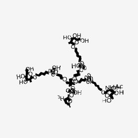 [3H]C1C[C@H](C)O[C@@H]1COP(=O)(O)OCC(COCCCOP(=O)(O)OCCCCCCO[C@@H]1OC(CO)[C@H](O)[C@H](O)C1C)(COCCCOP(=O)(O)OCCCCCCO[C@@H]1OC(CO)[C@H](O)[C@H](O)C1C)COCCCOP(=O)(O)OCCCCCCO[C@@H]1OC(CO)[C@H](O)[C@H](O)C1NC(C)=O